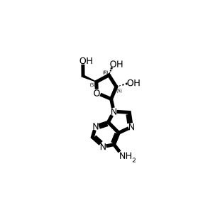 Nc1ncnc2c1ncn2C1O[C@@H](CO)[C@H](O)[C@@H]1O